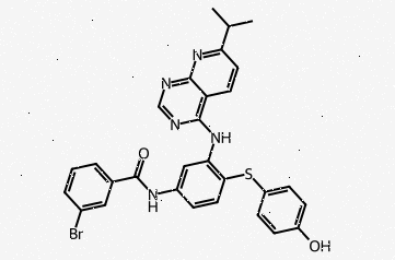 CC(C)c1ccc2c(Nc3cc(NC(=O)c4cccc(Br)c4)ccc3Sc3ccc(O)cc3)ncnc2n1